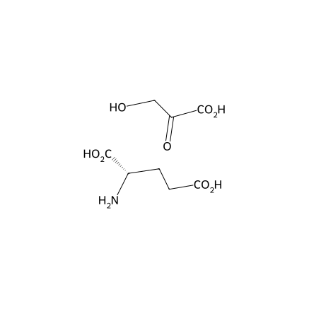 N[C@@H](CCC(=O)O)C(=O)O.O=C(O)C(=O)CO